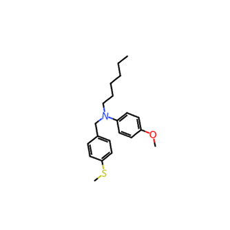 CCCCCCN(Cc1ccc(SC)cc1)c1ccc(OC)cc1